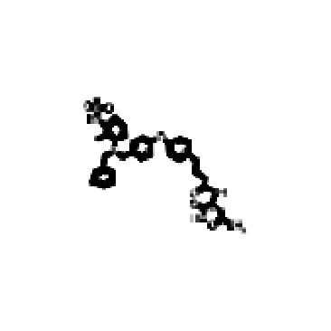 Cc1c(NS(C)(=O)=O)cccc1N(Cc1ccccc1)Cc1ccc(Oc2ccc(CCCC(=O)N[C@@H](CC(N)=O)C(=O)O)cc2)cc1